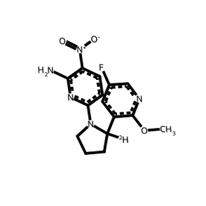 [2H]C1(c2cc(F)cnc2OC)CCCN1c1ccc([N+](=O)[O-])c(N)n1